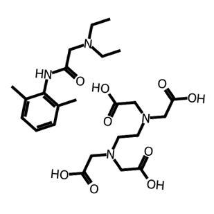 CCN(CC)CC(=O)Nc1c(C)cccc1C.O=C(O)CN(CCN(CC(=O)O)CC(=O)O)CC(=O)O